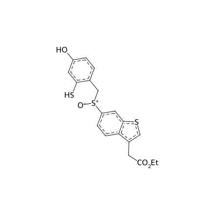 CCOC(=O)Cc1csc2cc([S+]([O-])Cc3ccc(O)cc3S)ccc12